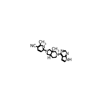 Cc1nc(N2C[C@H]3CCN(c4ncnc5[nH]ccc45)C[C@@]3(C)C2)ccc1C#N